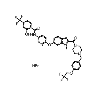 Br.Cn1c(C(=O)N2CCN(Cc3ccc(OCC(F)(F)F)cc3)CC2)cc2ccc(Oc3ccc(NC(=O)c4ccc(C(F)(F)F)cc4O)cn3)cc21